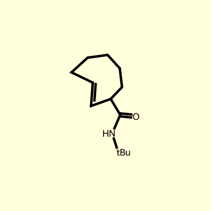 CC(C)(C)NC(=O)C1/C=C/CCCCC1